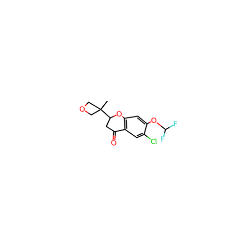 CC1(C2CC(=O)c3cc(Cl)c(OC(F)F)cc3O2)COC1